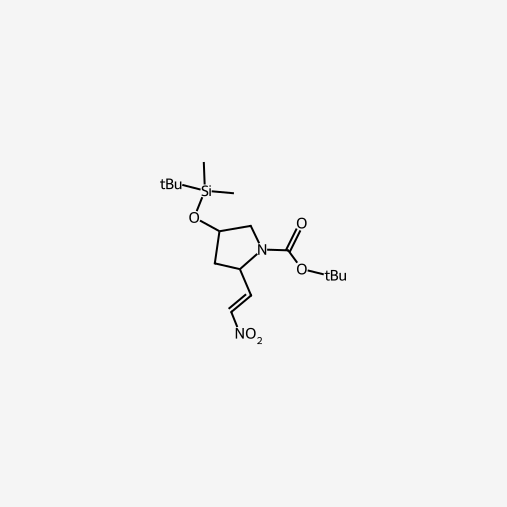 CC(C)(C)OC(=O)N1CC(O[Si](C)(C)C(C)(C)C)CC1C=C[N+](=O)[O-]